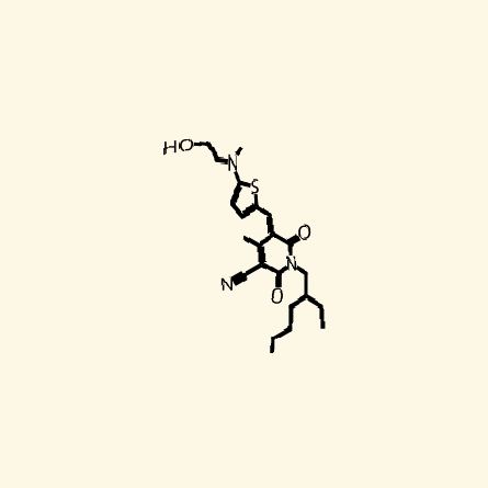 CCCCC(CC)CN1C(=O)C(C#N)=C(C)/C(=C\c2ccc(N(C)CCO)s2)C1=O